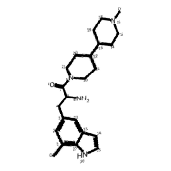 Cc1cc(CC(N)C(=O)N2CCC(C3CCN(C)CC3)CC2)cc2cc[nH]c12